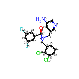 Nc1cncc(CN(Cc2cccc(Cl)c2Cl)C(=O)c2cc(F)cc(F)c2)c1